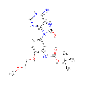 COCCOc1ccc(-n2c(=O)[nH]c3c(N)ncnc32)cc1NC(=O)OC(C)(C)C